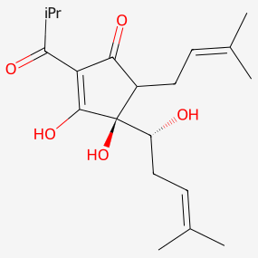 CC(C)=CCC1C(=O)C(C(=O)C(C)C)=C(O)[C@@]1(O)[C@H](O)CC=C(C)C